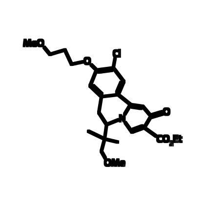 CCOC(=O)c1cn2c(cc1=O)-c1cc(Cl)c(OCCCOC)cc1CC2C(C)(C)COC